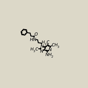 Cc1nc(N)c2nc(C)n(CCCNC(=O)CCc3ccccc3)c2c1C